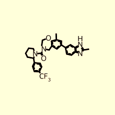 Cc1nc2ccc(-c3cc(C)c4c(c3)CN(C(=O)N3CCCCC3c3ccc(C(F)(F)F)cc3)CCO4)cc2[nH]1